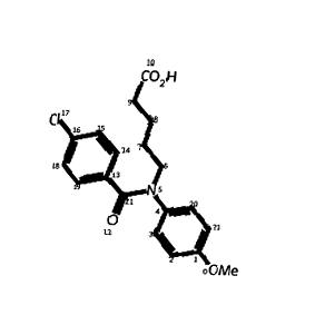 COc1ccc(N(CCCCC(=O)O)C(=O)c2ccc(Cl)cc2)cc1